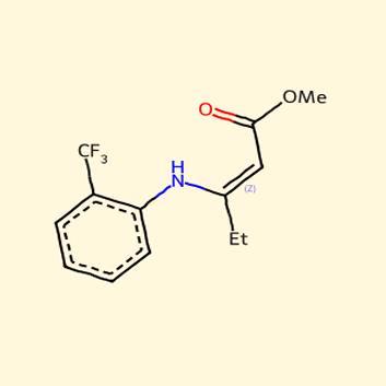 CC/C(=C/C(=O)OC)Nc1ccccc1C(F)(F)F